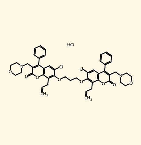 C=CCc1c(OCCCOc2c(Cl)cc3c(-c4ccccc4)c(CN4CCOCC4)c(=O)oc3c2CC=C)c(Cl)cc2c(-c3ccccc3)c(CN3CCOCC3)c(=O)oc12.Cl